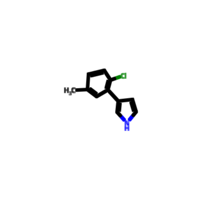 Cc1ccc(Cl)c(-c2cc[nH]c2)c1